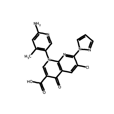 Cc1cc(N)ncc1-n1cc(C(=O)O)c(=O)c2cc(Cl)c(-n3cccn3)nc21